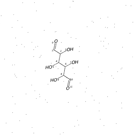 O=[C]C(O)C(O)C(O)C(O)[C]=O